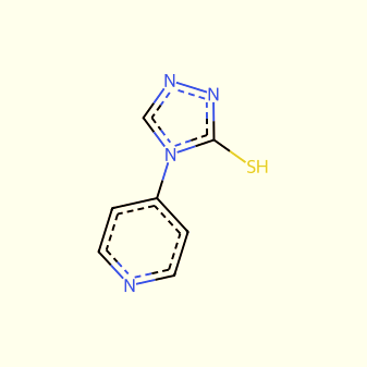 Sc1nncn1-c1ccncc1